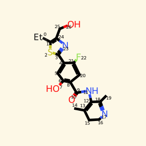 CCc1sc(-c2cc(O)c(C(=O)NC3=C(C)CCN=C3C)cc2F)nc1CO